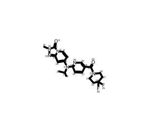 CC(C)N(c1ccn2c(=O)n(C)nc2c1)c1ccc(C(=O)N2CCC(F)(F)CC2)cn1